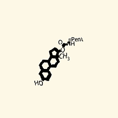 CCCCCNC(=O)OC1CCC2C3CCc4cc(O)ccc4C3CCC12C